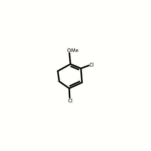 COC1=C(Cl)C=C(Cl)[CH]C1